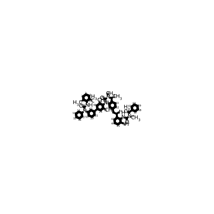 Cc1cccc(C)c1NC(=O)N(c1ccccc1)c1cccc(-c2cc(C)c(NC(=O)N(C)C(C)c3ccc(CC(I)c4cccc(C(C)C)c4NC(=O)N(C)C(C)c4ccccc4)cc3)c(C)c2)c1